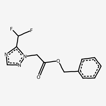 O=C(Cn1ncnc1C(F)F)OCc1ccccc1